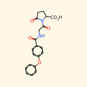 O=C(NCC(=O)N1C(=O)CCC1C(=O)O)c1ccc(Oc2ccccc2)cc1